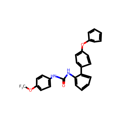 O=C(Nc1ccc(OC(F)(F)F)cc1)Nc1ccccc1-c1ccc(Oc2ccccc2)cc1